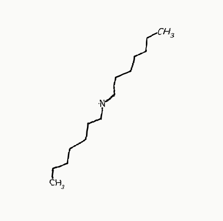 CCCCCCC[N]CCCCCCC